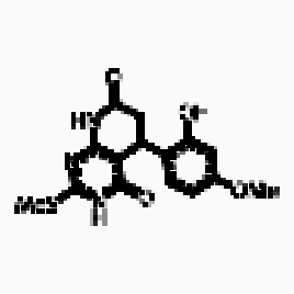 COc1ccc(C2CC(=O)Nc3nc(SC)[nH]c(=O)c32)c(O)c1